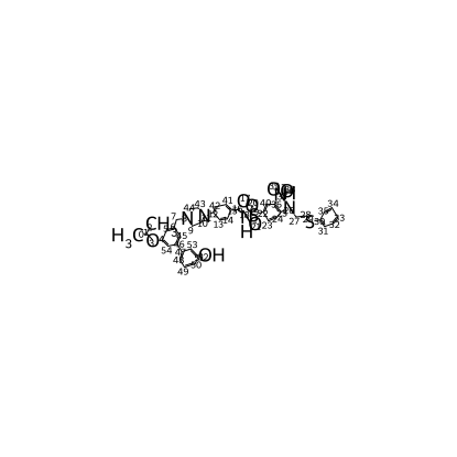 CC(C)Oc1cc(CN2CCN(c3ccc(C(=O)NS(=O)(=O)c4ccc(NCCSc5ccccc5)c([N+](=O)[O-])c4)cc3)CC2)cc(-c2cccc(O)c2)c1